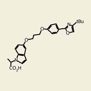 CC(C(=O)O)n1ccc2cc(OCCCOc3ccc(-c4nc(C(C)(C)C)co4)cc3)ccc21